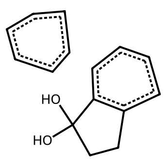 OC1(O)CCc2ccccc21.c1ccccc1